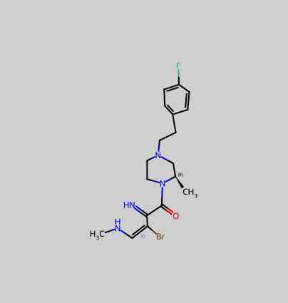 CN/C=C(/Br)C(=N)C(=O)N1CCN(CCc2ccc(F)cc2)C[C@H]1C